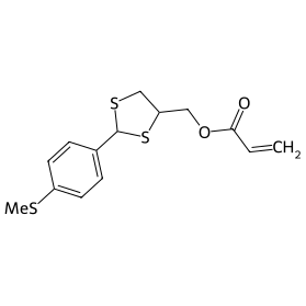 C=CC(=O)OCC1CSC(c2ccc(SC)cc2)S1